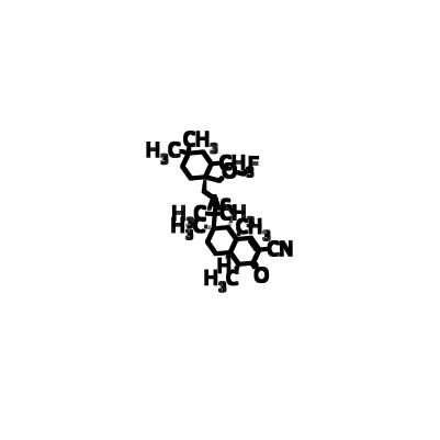 CC(=O)C[C@@H]1[C@@]2(C)C=C(C#N)C(=O)[C@@H](C)[C@@H]2CC[C@@]1(C)C(C)(C)CC[C@@]1(COCF)CCC(C)(C)CC1C